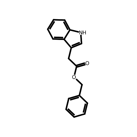 O=C(Cc1c[nH]c2ccccc12)OCc1ccccc1